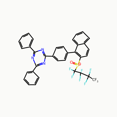 O=S(=O)(c1ccc2ccccc2c1-c1ccc(-c2nc(-c3ccccc3)nc(-c3ccccc3)n2)cc1)C(F)(F)C(F)(F)C(F)(F)C(F)(F)F